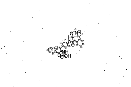 CCn1nccc1N(C=O)[C@H](C(=O)Nc1ccc([C@H](C)[C@@H](NC(=O)O)C(=O)N2CCN(C)CC2)cc1)C1CCCCC1